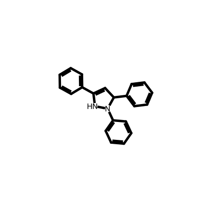 C1=C(c2ccccc2)NN(c2ccccc2)C1c1ccccc1